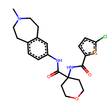 CN1CCc2ccc(NC(=O)C3(NC(=O)c4ccc(Cl)s4)CCOCC3)cc2CC1